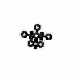 c1ccc(-c2nc3c(N4c5ccccc5Sc5ccccc54)c4oc(-c5ccccc5)nc4c(-c4ccccc4)c3o2)cc1